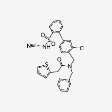 N#CNS(=O)(=O)c1ccccc1-c1ccc(CN(Cc2ccccc2)C(=O)Cc2cccs2)c(Cl)c1